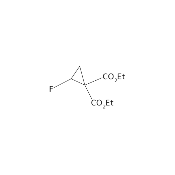 CCOC(=O)C1(C(=O)OCC)CC1F